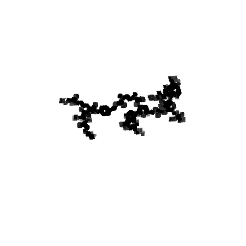 CC(C)[C@H](NC(=O)CN=[N+]=[N-])C(=O)N[C@@H](CCCNC(N)=O)C(=O)Nc1ccc(COC(=O)N(C)CCN(C)C(=O)O[C@@H]2C[C@@H](COP(=O)(O)OC3C(O[Si](C)(C)C(C)(C)C)[C@H](n4cnc5c(N)ncnc54)O[C@@H]3COP(=O)(O)O)O[C@H]2n2cnc3c(=O)[nH]c(N)nc32)cc1